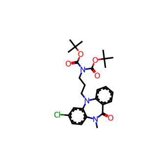 CN1C(=O)c2ccccc2N(CCCN(C(=O)OC(C)(C)C)C(=O)OC(C)(C)C)c2cc(Cl)ccc21